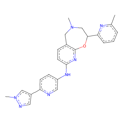 Cc1cccc(C2CN(C)Cc3ccc(Nc4ccc(-c5cnn(C)c5)nc4)nc3O2)n1